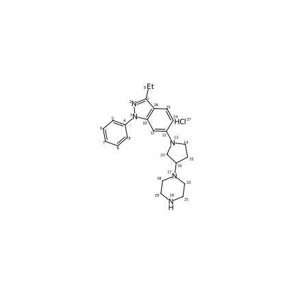 CCc1nn(-c2ccccc2)c2cc(N3CCC(N4CCNCC4)C3)ccc12.Cl